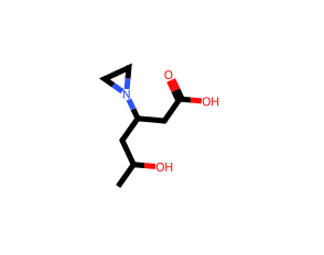 CC(O)CC(CC(=O)O)N1CC1